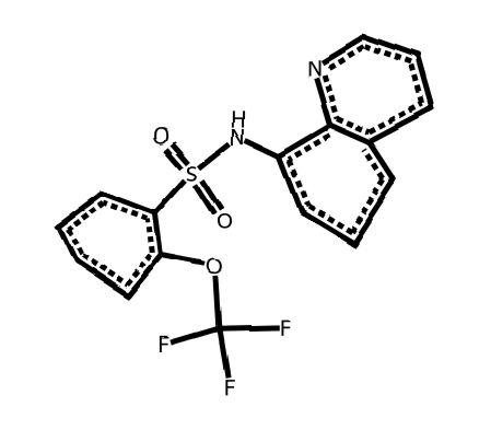 O=S(=O)(Nc1cccc2cccnc12)c1ccccc1OC(F)(F)F